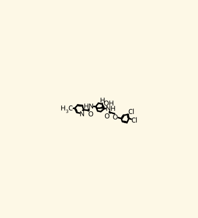 Cc1ccc(C(=O)NC23CCC(NC(=O)COc4ccc(Cl)c(Cl)c4)(CC2)[C@@H](O)C3)nc1